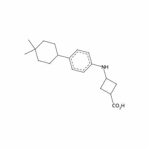 CC1(C)CCC(c2ccc(NC3CC(C(=O)O)C3)cc2)CC1